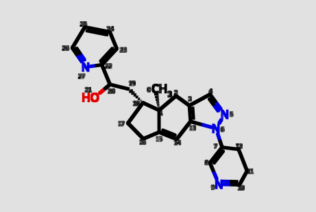 C[C@]12Cc3cnn(C4=CN=CCC4)c3C=C1CC[C@@H]2CC(O)c1ccccn1